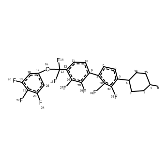 CC1CCC(c2ccc(-c3ccc(C(F)(F)Oc4cc(F)c(F)c(F)c4)c(F)c3F)c(F)c2F)CC1